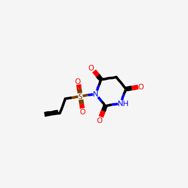 C=CCS(=O)(=O)N1C(=O)CC(=O)NC1=O